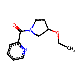 CCOC1CCN(C(=O)c2ccccn2)C1